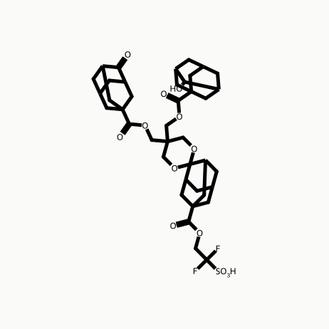 O=C1C2CC3CC1CC(C(=O)OCC1(COC(=O)C45CC6CC(C4)C(O)C(C6)C5)COC4(OC1)C1CC5CC4CC(C(=O)OCC(F)(F)S(=O)(=O)O)(C5)C1)(C3)C2